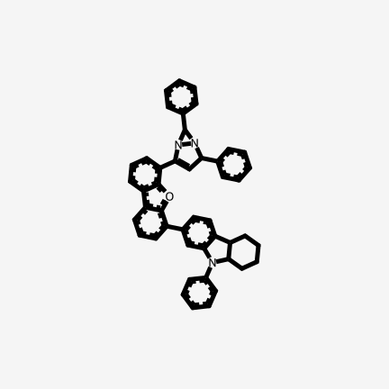 C1=C(c2cccc3c2oc2c(-c4ccc5c(c4)N(c4ccccc4)C4CCCCC54)cccc23)N2C(c3ccccc3)N2C1c1ccccc1